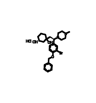 CN1CCN([C@@H](CC2(O)CCCCC2)c2ccc(OCc3ccccc3)c(Br)c2)CC1.Cl.Cl